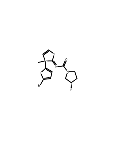 C[N+]1(c2ccc(Br)s2)C=CS/C1=N\C(=O)N1CC[C@@H](F)C1